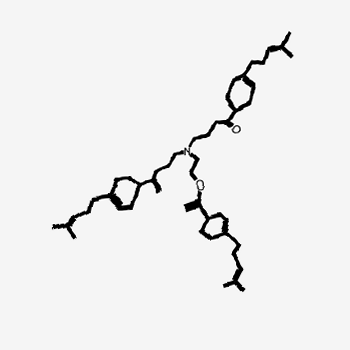 C=C(CCCN(CCCC(=O)C1CC=C(CCC=C(C)C)CC1)CCOC(=C)C1CC=C(CCC=C(C)C)CC1)C1CC=C(CCC=C(C)C)CC1